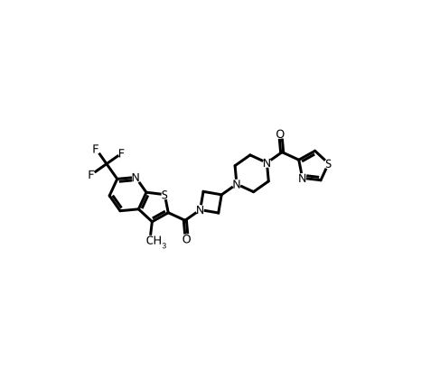 Cc1c(C(=O)N2CC(N3CCN(C(=O)c4cscn4)CC3)C2)sc2nc(C(F)(F)F)ccc12